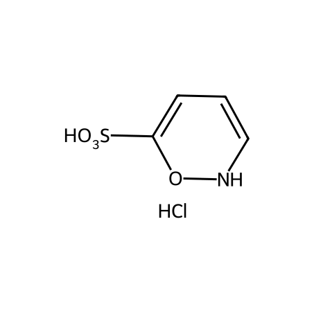 Cl.O=S(=O)(O)C1=CC=CNO1